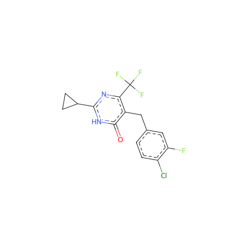 O=c1[nH]c(C2CC2)nc(C(F)(F)F)c1Cc1ccc(Cl)c(F)c1